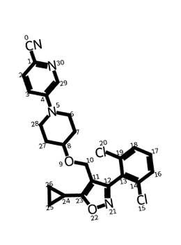 N#Cc1ccc(N2CCC(OCc3c(-c4c(Cl)cccc4Cl)noc3C3CC3)CC2)cn1